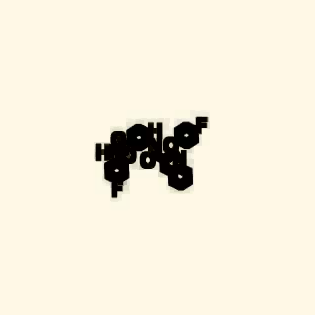 O=C(Nc1cccc(S(=O)(=O)Nc2ccc(F)cc2)c1)c1cc2ccccc2nc1Oc1ccc(F)cc1